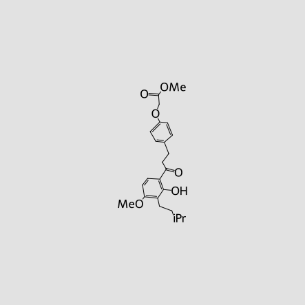 COC(=O)COc1ccc(CCC(=O)c2ccc(OC)c(CCC(C)C)c2O)cc1